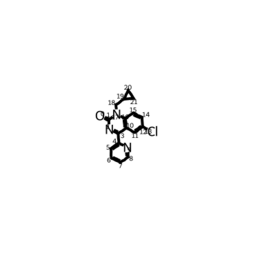 O=c1nc(-c2ccccn2)c2cc(Cl)ccc2n1CC1CC1